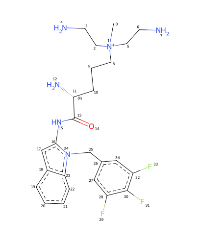 C[N+](CCN)(CCN)CCC[C@@H](N)C(=O)Nc1cc2ccccc2n1Cc1cc(F)c(F)c(F)c1